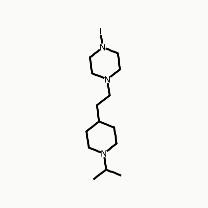 CC(C)N1CCC(CCN2CCN(I)CC2)CC1